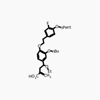 C=C(CC(OCC)c1ccc(OCCc2ccc(OCCCCC)c(F)c2)c(OCCCC)c1)C(=O)O